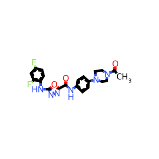 CC(=O)N1CCN(c2ccc(NC(=O)c3nnc(Nc4ccc(F)cc4F)o3)cc2)CC1